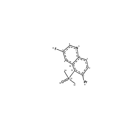 CC(C)c1ccc2ncc(F)cc2c1P(C)(C)=O